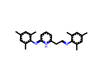 Cc1cc(C)c(N=CCc2cccc(=Nc3c(C)cc(C)cc3C)[nH]2)c(C)c1